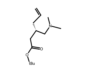 C=CC[C@@H](CC(=O)OC(C)(C)C)CN(C)C